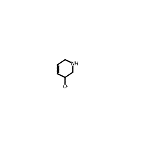 [O]C1C=CCNC1